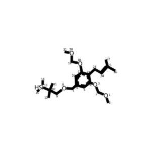 COCOc1cc(COCC(C)(C)[SiH](C)C)cc(OCOC)c1CC=C(C)C